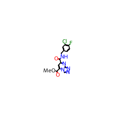 COC(=O)c1cc(C(=O)NCc2ccc(F)c(Cl)c2)nc2nncn12